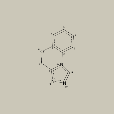 c1ccc2c(c1)OCc1nncn1-2